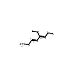 CC/C=C(/C=C/CN)CC